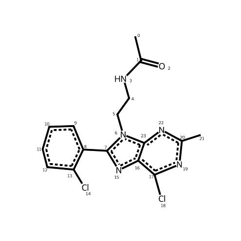 CC(=O)NCCn1c(-c2ccccc2Cl)nc2c(Cl)nc(C)nc21